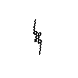 CCCCCCCCc1ccc(C2=CC(=S)C(c3ccc(CCCCCCCC)cc3)=CC2=O)cc1